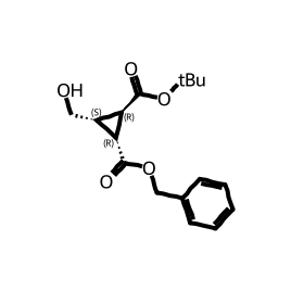 CC(C)(C)OC(=O)[C@@H]1[C@@H](CO)[C@H]1C(=O)OCc1ccccc1